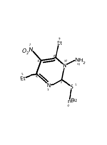 CCCCSC1N=C(CC)C([N+](=O)[O-])=C(CC)N1N